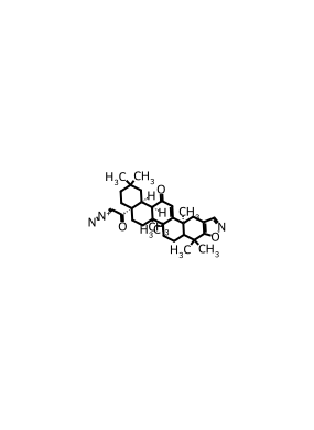 CC1(C)CC[C@]2(C(=O)C=[N+]=[N-])CC[C@]3(C)[C@H](C(=O)C=C4[C@@]5(C)Cc6cnoc6C(C)(C)C5CC[C@]43C)[C@@H]2C1